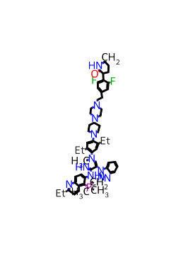 C=C1CCC(c2c(F)cc(CCN3CCN(C4CCN(c5cc(CC)c(N(C)/C=C(\C(=N)Nc6ccc7nc(CC)ccc7c6P(=C)(C)C)n6nnc7ccccc76)cc5CC)CC4)CC3)cc2F)C(=O)N1